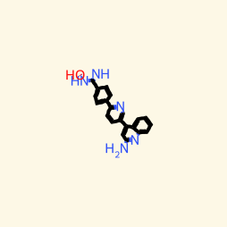 N=C(NO)c1ccc(-c2ccc(-c3cc(N)nc4ccccc34)cn2)cc1